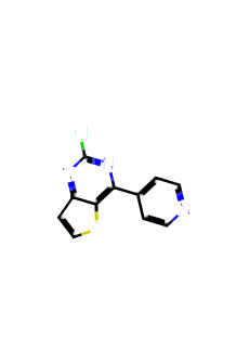 Clc1nc(-c2ccncc2)c2sccc2n1